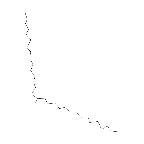 CCCCCCCCCCCCCCCC(C)CCCCCCCCCCCCCCC